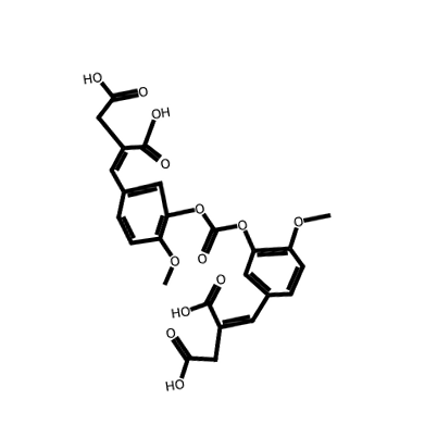 COc1ccc(C=C(CC(=O)O)C(=O)O)cc1OC(=O)Oc1cc(C=C(CC(=O)O)C(=O)O)ccc1OC